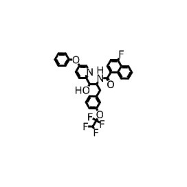 O=C(NC(Cc1cccc(OC(F)(F)C(F)F)c1)C(O)c1ccc(Oc2ccccc2)cn1)c1ccc(F)c2ccccc12